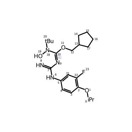 CC(C)Oc1ccc(NC(=N)/N=C(/OCC2CCCC2)N(O)C(C)(C)C)cc1F